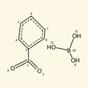 O=I(=O)c1ccccc1.OB(O)O